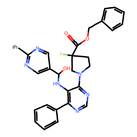 CC(C)c1ncc(C(O)Nc2c(-c3ccccc3)ncnc2N2CCC(F)(C(=O)OCc3ccccc3)C2)cn1